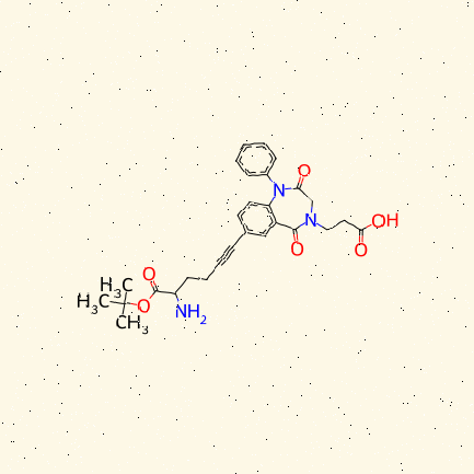 CC(C)(C)OC(=O)C(N)CCC#Cc1ccc2c(c1)C(=O)N(CCC(=O)O)CC(=O)N2c1ccccc1